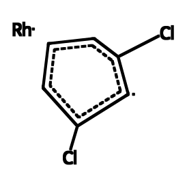 Clc1[c]c(Cl)ccc1.[Rh]